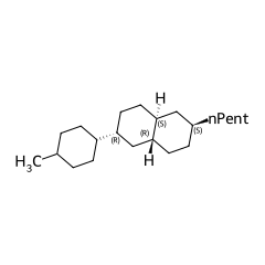 CCCCC[C@H]1CC[C@@H]2C[C@H](C3CCC(C)CC3)CC[C@H]2C1